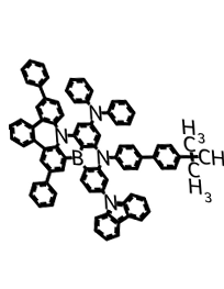 CC(C)(C)c1ccc(-c2ccc(N3c4cc(-n5c6ccccc6c6ccccc65)ccc4B4c5cc(-c6ccccc6)cc6c5N(c5ccc(-c7ccccc7)cc5-c5ccccc5-6)c5cc(N(c6ccccc6)c6ccccc6)cc3c54)cc2)cc1